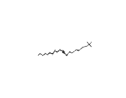 CCCCCCCCCCC#CCCCCCCCC(C)(C)C